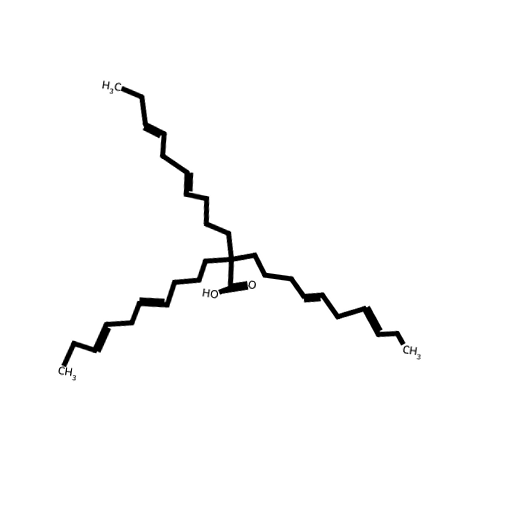 CC/C=C/C/C=C/CCCC(CCC/C=C/C/C=C/CC)(CCC/C=C/C/C=C/CC)C(=O)O